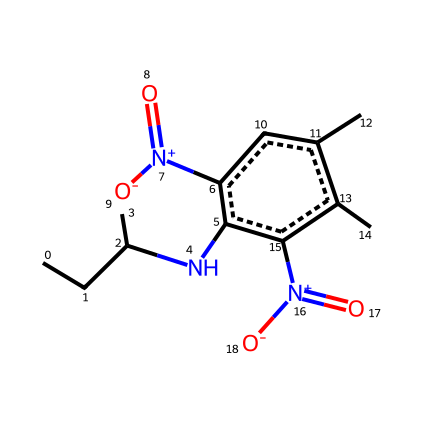 CCC(C)Nc1c([N+](=O)[O-])cc(C)c(C)c1[N+](=O)[O-]